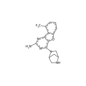 Nc1nc(N2CC3CC2CN3)c2oc3cccc(C(F)(F)F)c3c2n1